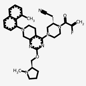 C=C(F)C(=O)N1CCN(c2nc(OC[C@H]3CCCN3C)nc3c2CCN(c2cccc4cccc(C)c24)C3)C[C@@H]1CC#N